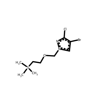 CS(C)(C)CCOCn1cc(Br)c(Cl)n1